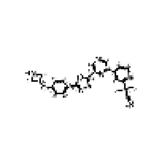 CC(C)(C#N)c1cc(-c2cncc(-c3nnc(-c4ccc(OC5CNC5)cc4)o3)n2)ccn1